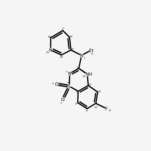 CCN(C1=NS(=O)(=O)c2ccc(F)cc2N1)c1cccnc1